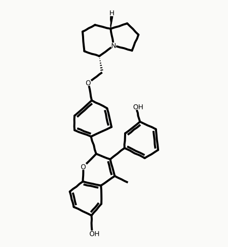 CC1=C(c2cccc(O)c2)C(c2ccc(OC[C@@H]3CCC[C@@H]4CCCN43)cc2)Oc2ccc(O)cc21